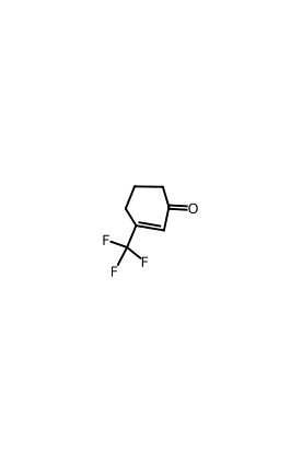 O=C1C=C(C(F)(F)F)CCC1